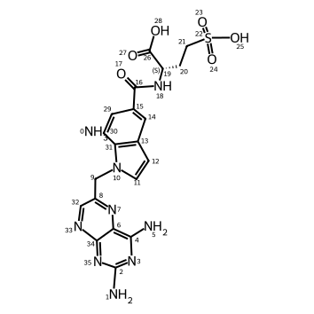 N.Nc1nc(N)c2nc(Cn3ccc4cc(C(=O)N[C@@H](CCS(=O)(=O)O)C(=O)O)ccc43)cnc2n1